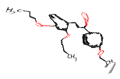 CCCCOc1ccc(C=CC(=O)c2ccc(OCC)cc2)c(OCCCC)c1